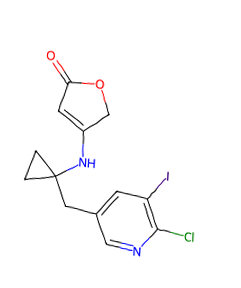 O=C1C=C(NC2(Cc3cnc(Cl)c(I)c3)CC2)CO1